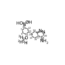 [2H]C([2H])([2H])Oc1ccc(B(O)O)cc1-c1ccc2c(N)cnnc2c1